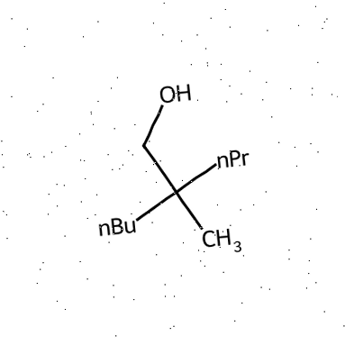 CCCCC(C)(CO)CCC